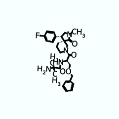 CN1C[C@@H](c2ccc(F)cc2)[C@@]2(CCCN(C(=O)[C@@H](COCc3ccccc3)NC(=O)C(C)(C)N)C2)C1=O